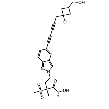 C[C@@](CCn1cc2cc(C#CC#CCC3(O)CC(CO)C3)ccc2n1)(C(=O)NO)S(C)(=O)=O